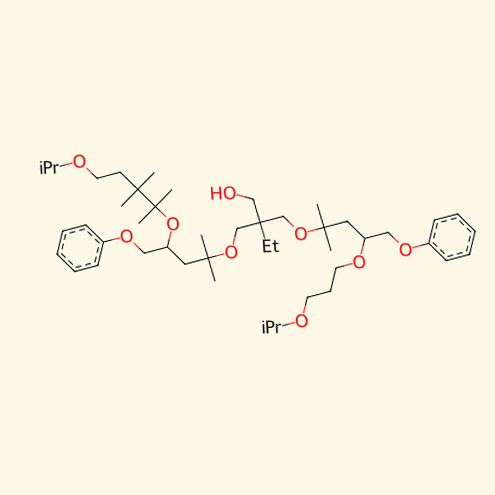 CCC(CO)(COC(C)(C)CC(COc1ccccc1)OCCCOC(C)C)COC(C)(C)CC(COc1ccccc1)OC(C)(C)C(C)(C)CCOC(C)C